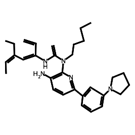 C=C/C(=C\C(=C/C)CC)NC(=C)N(CCCCC)c1nc(-c2cccc(N3CCCC3)c2)ccc1N